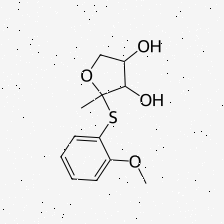 COc1ccccc1SC1(C)OCC(O)C1O